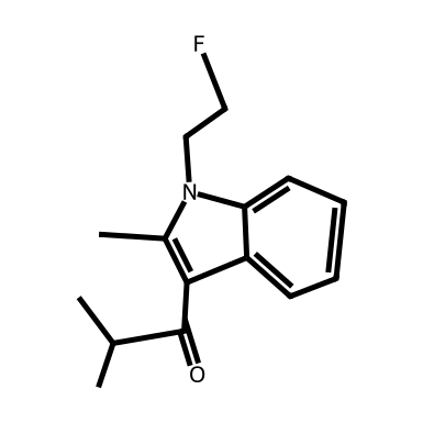 Cc1c(C(=O)C(C)C)c2ccccc2n1CCF